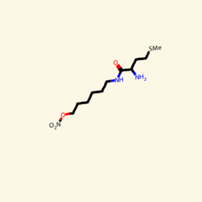 CSCCC(N)C(=O)NCCCCCCO[N+](=O)[O-]